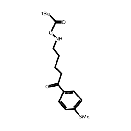 CSc1ccc(C(=O)CCCCNOC(=O)C(C)(C)C)cc1